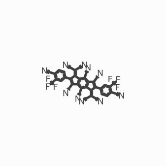 N#CC(C#N)=C1C(c2ccc(C#N)c(C(F)(F)F)c2)=C(C#N)c2c(C#N)c3c(c(C#N)c21)C(C#N)=C(c1ccc(C#N)c(C(F)(F)F)c1)C3=C(C#N)C#N